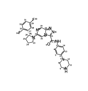 O=C(Nc1ccc(N2CCNCC2)cc1)c1nnc2cnc(N3CCC[C@@H]3c3cc(F)ccc3F)cn12